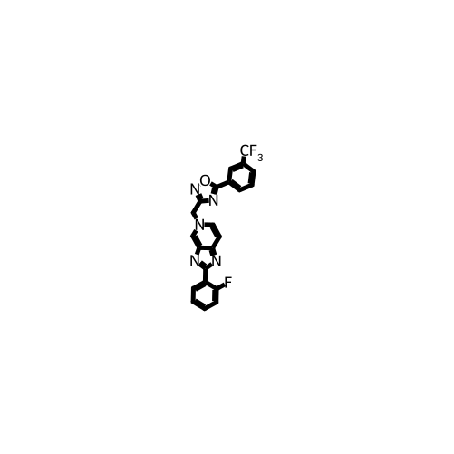 Fc1ccccc1-c1nc2ccn(Cc3noc(-c4cccc(C(F)(F)F)c4)n3)cc-2n1